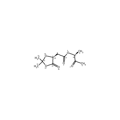 CC(=O)[C@H](C)OC(=O)C[C@@H]1OC(C)(C)OC1=O